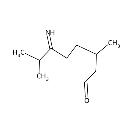 CC(CC=O)CCC(=N)C(C)C